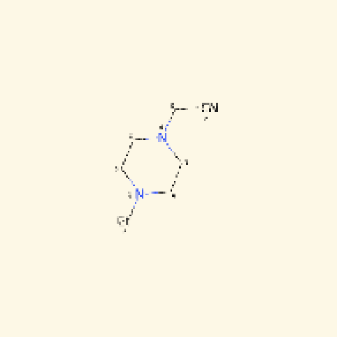 CCN1CCN(CC#N)CC1